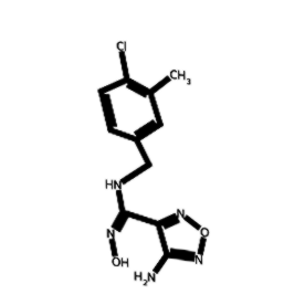 Cc1cc(CN/C(=N/O)c2nonc2N)ccc1Cl